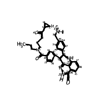 CCCN(CCCC(=O)C1CC1)C(=O)c1ccc(C2c3n[nH]c(=O)c4cccc(c34)NC2c2ccc(CNC)cc2)cc1